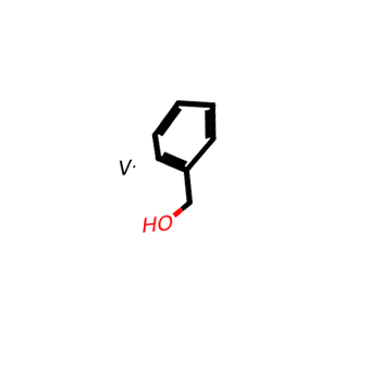 OCc1ccccc1.[V]